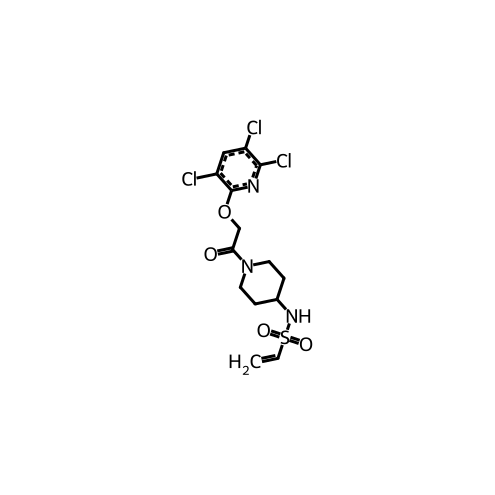 C=CS(=O)(=O)NC1CCN(C(=O)COc2nc(Cl)c(Cl)cc2Cl)CC1